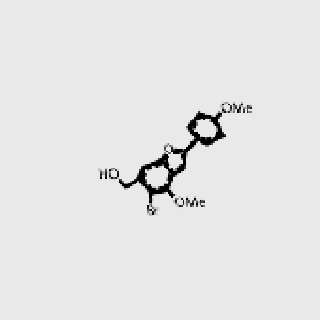 COc1ccc(-c2cc3c(OC)c(Br)c(CO)cc3o2)cc1